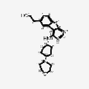 OCCc1ccc2sc3ncnc(N[C@H]4CC[C@H](N5CCOCC5)CC4)c3c2c1